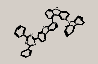 c1ccc(-c2nc(-c3ccccc3)nc(-c3ccc4c(c3)sc3c(-c5cccc6oc7ccc(-n8c9ccccc9c9ccccc98)cc7c56)cccc34)n2)cc1